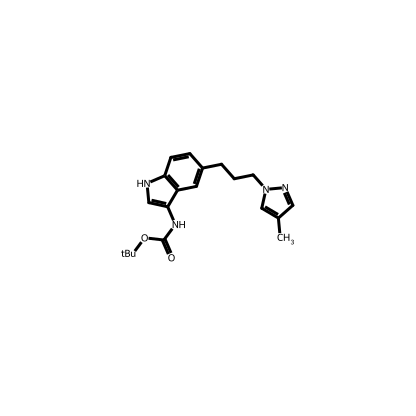 Cc1cnn(CCCc2ccc3[nH]cc(NC(=O)OC(C)(C)C)c3c2)c1